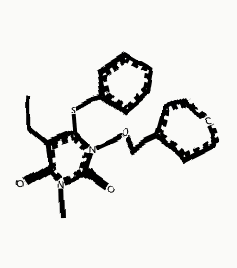 CCc1c(Sc2ccccc2)n(OCc2ccccc2)c(=O)n(C)c1=O